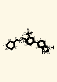 FC(F)(F)c1cc(-c2ccc3[nH]cnc3c2)ccc1CNCC1CCCCC1